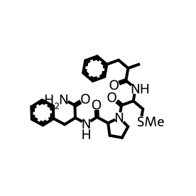 CSCC(NC(=O)C(C)Cc1ccccc1)C(=O)N1CCCC1C(=O)NC(Cc1ccccc1)C(N)=O